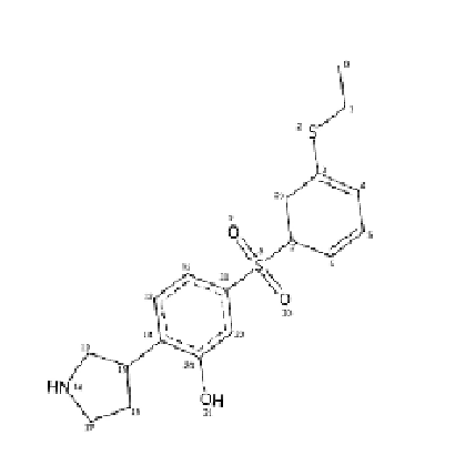 CCSC1=CC=CC(S(=O)(=O)c2ccc(C3CCNC3)c(O)c2)C1